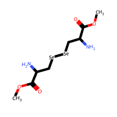 COC(=O)C(N)C[Se][Se]CC(N)C(=O)OC